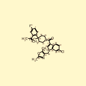 C=C(C)c1cc(F)ccc1C1(C)CCN(C(=O)c2cn(Cc3nc(C)oc3C)c3cc(Cl)ccc23)CC1